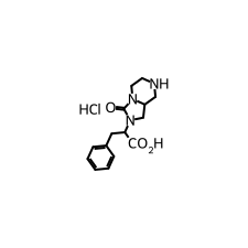 Cl.O=C(O)C(Cc1ccccc1)N1CC2CNCCN2C1=O